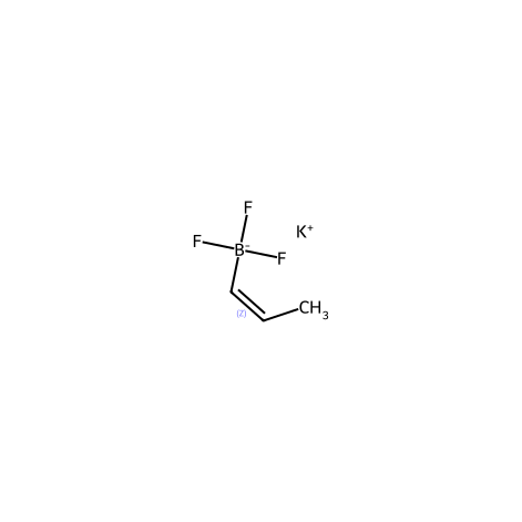 C/C=C\[B-](F)(F)F.[K+]